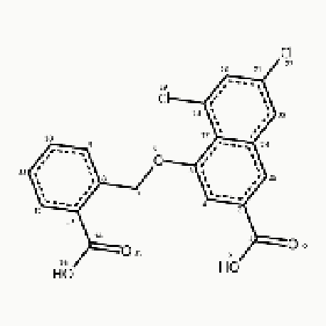 O=C(O)c1cc(OCc2ccccc2C(=O)O)c2c(Cl)cc(Cl)cc2c1